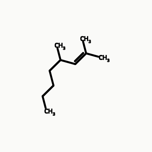 CCCCC(C)C=C(C)C